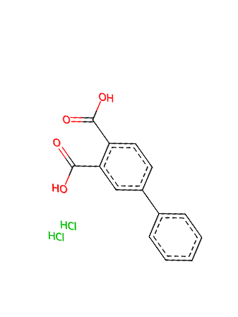 Cl.Cl.O=C(O)c1ccc(-c2ccccc2)cc1C(=O)O